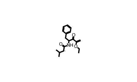 C=C(OCC)C(=O)C(Cc1ccccc1)NC(=O)[CH]C(C)C